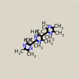 Cc1nc(C)c(C(C)(C)c2nc(C)c(C(C)(C)c3nc(C)c(C)nc3C)c(C)n2)nc1C